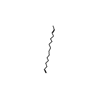 [CH]=CCCCCCCCCCCCC=CC